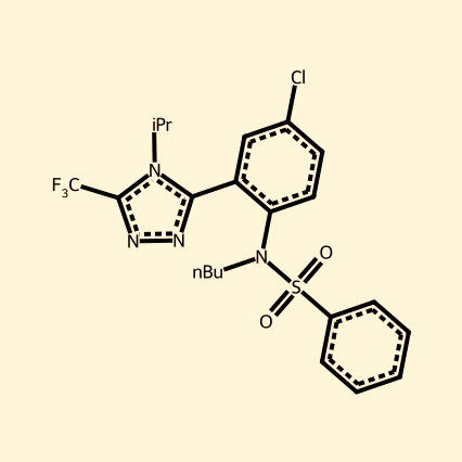 CCCCN(c1ccc(Cl)cc1-c1nnc(C(F)(F)F)n1C(C)C)S(=O)(=O)c1ccccc1